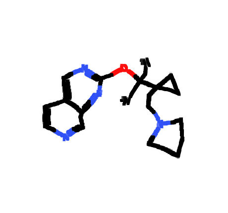 [2H]C([2H])(Oc1ncc2ccncc2n1)C1(CN2CCCC2)CC1